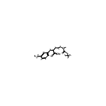 CN(CCCC(Cc1cccc(N)c1)C(=O)O)C(=O)OC(C)(C)C